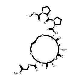 COC(=O)CNC(=O)[C@@H]1COC/C=C/COC[C@H](NC(=O)[C@@H]2CCCN2C(=O)[C@@H]2CCCN2C(=O)OC(C)(C)C)C(=O)N[C@@H](C(C)C)C(=O)N[C@@H](C(C)C)C(=O)N1